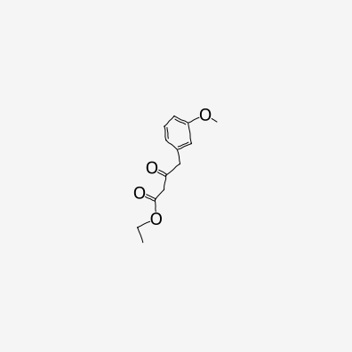 CCOC(=O)CC(=O)Cc1cccc(OC)c1